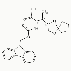 C[C@@H]([C@@H]1COC2(CCCC2)O1)[C@H](NC(=O)OCC1c2ccccc2-c2ccccc21)C(=O)O